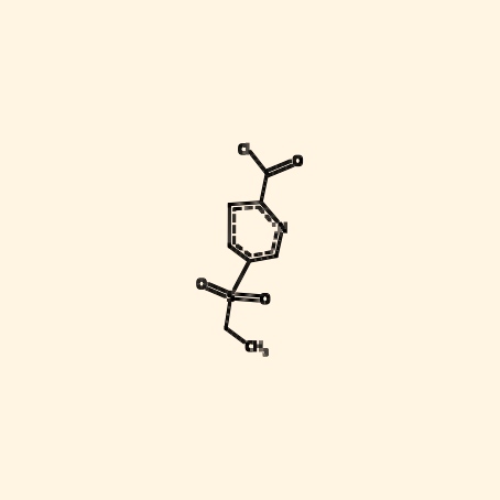 CCS(=O)(=O)c1ccc(C(=O)Cl)nc1